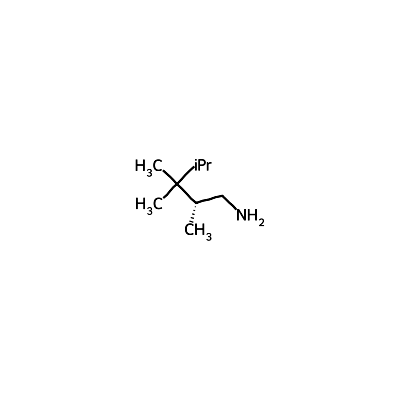 CC(C)C(C)(C)[C@@H](C)CN